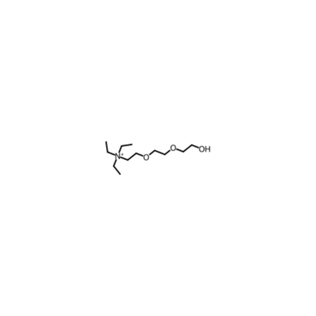 CC[N+](CC)(CC)CCOCCOCCO